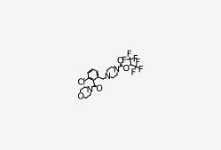 O=C(OC(C(F)(F)F)C(F)(F)F)N1CCN(Cc2cccc(Cl)c2C(=O)N2CCOCC2)CC1